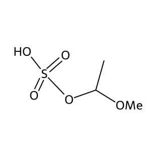 COC(C)OS(=O)(=O)O